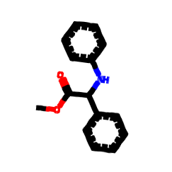 COC(=O)C(Nc1ccccc1)c1ccccc1